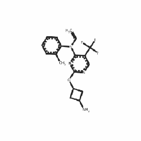 C=CN(c1ccccc1C)c1nc(OC2CC(N)C2)ncc1C(F)(F)F